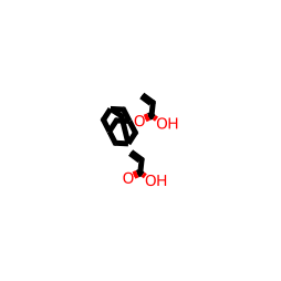 C1C2CC3CC1CC(C2)C3.C=CC(=O)O.C=CC(=O)O